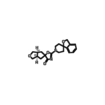 O=C1N=C(N2CCC3(CC2)OCc2ccccc23)OC12C[C@H]1COC[C@H]1C2